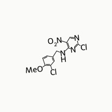 COc1ccc(CNc2nc(Cl)ncc2[N+](=O)[O-])cc1Cl